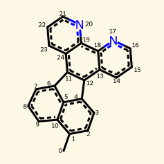 Cc1ccc2c3c(cccc13)-c1c-2c2cccnc2c2ncccc12